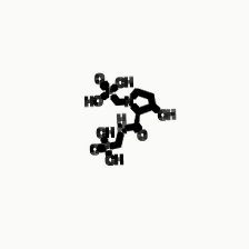 O=C(NCP(=O)(O)O)[C@@H]1C(O)CCN1CP(=O)(O)O